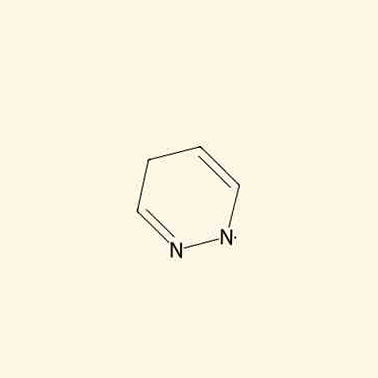 C1=C[N]N=CC1